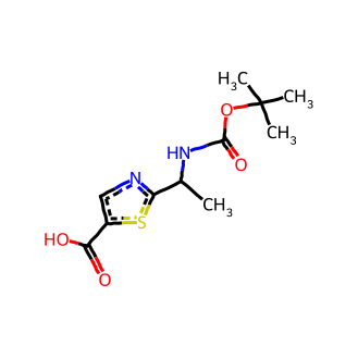 CC(NC(=O)OC(C)(C)C)c1ncc(C(=O)O)s1